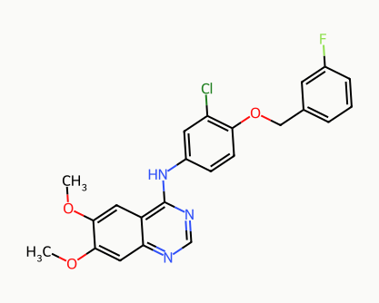 COc1cc2ncnc(Nc3ccc(OCc4cccc(F)c4)c(Cl)c3)c2cc1OC